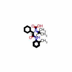 Cc1ccccc1NC(=O)[C@H](C1CCCCC1)N(C(=O)O)C(C)(C)C